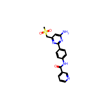 CS(=O)(=O)Cc1cc(N)nc(-c2ccc(NC(=O)c3cccnc3)cc2)n1